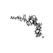 CNCCOCCNC(=O)c1ccc2c(c1)nc(Nc1nc3ccc(OC(F)(F)F)cc3s1)n2C.Cl